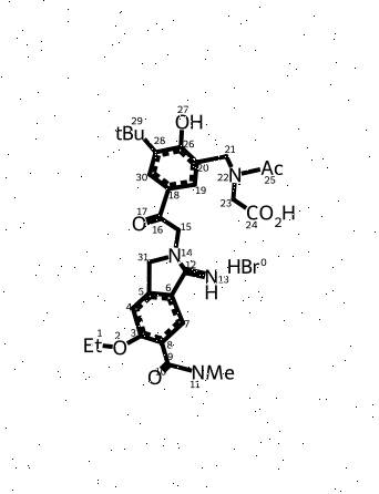 Br.CCOc1cc2c(cc1C(=O)NC)C(=N)N(CC(=O)c1cc(CN(CC(=O)O)C(C)=O)c(O)c(C(C)(C)C)c1)C2